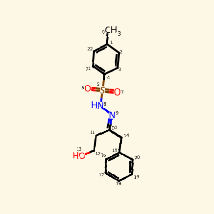 Cc1ccc(S(=O)(=O)NN=C(CCO)Cc2ccccc2)cc1